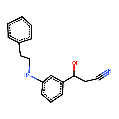 N#CCC(O)c1cccc(NCCc2ccccc2)c1